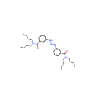 CCCCN(CCCC)C(=O)c1cccc(/N=N/Nc2cccc(C(=O)N(CCCC)CCCC)c2)c1